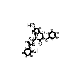 O=C(Nc1nc(-c2ccccc2Cl)cs1)[C@H](Cc1ccccc1)Cc1cc(O)no1